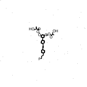 C=C(CO)C(=O)OCOc1cc(OCOC(=O)C(C)CO)cc(-c2ccc(C#Cc3ccc(CCCF)cc3)cc2)c1